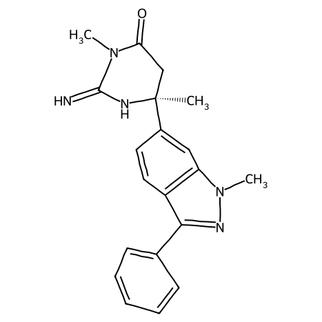 CN1C(=N)N[C@](C)(c2ccc3c(-c4ccccc4)nn(C)c3c2)CC1=O